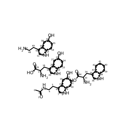 CC(=O)NCCc1c[nH]c2ccc(O)cc12.NC(Cc1c[nH]c2ccc(O)cc12)C(=O)O.NC(Cc1c[nH]c2ccccc12)C(=O)O.NCCc1c[nH]c2ccc(O)cc12